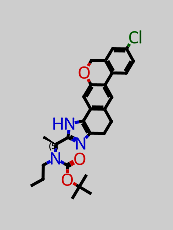 CCCN(C(=O)OC(C)(C)C)[C@@H](C)c1nc2c([nH]1)-c1cc3c(cc1CC2)-c1ccc(Cl)cc1CO3